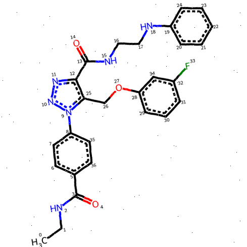 CCNC(=O)c1ccc(-n2nnc(C(=O)NCCNc3ccccc3)c2COc2cccc(F)c2)cc1